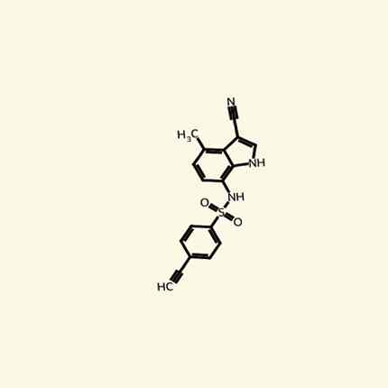 C#Cc1ccc(S(=O)(=O)Nc2ccc(C)c3c(C#N)c[nH]c23)cc1